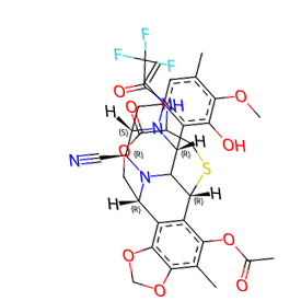 C=CCN1[C@@H]2c3c(cc(C)c(OC)c3O)C[C@H]1[C@H](C#N)N1C2[C@@H]2SCC(NC(=O)C(F)(F)F)C(=O)OC[C@H]1c1c3c(c(C)c(OC(C)=O)c12)OCO3